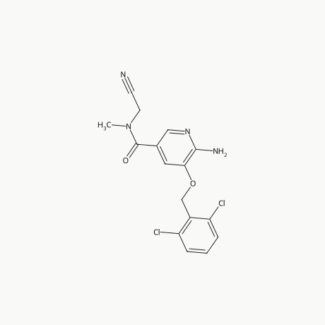 CN(CC#N)C(=O)c1cnc(N)c(OCc2c(Cl)cccc2Cl)c1